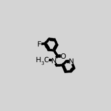 CN(Cc1cccnc1)C(=O)c1cccc(F)c1